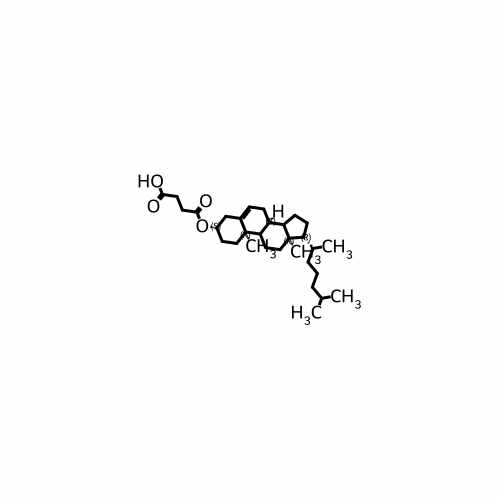 CC(C)CCCC(C)[C@H]1CCC2[C@@H]3CC=C4C[C@@H](OC(=O)CCC(=O)O)CC[C@]4(C)C3CC[C@@]21C